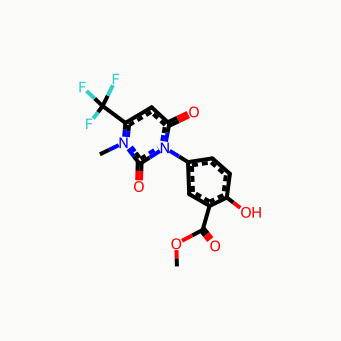 COC(=O)c1cc(-n2c(=O)cc(C(F)(F)F)n(C)c2=O)ccc1O